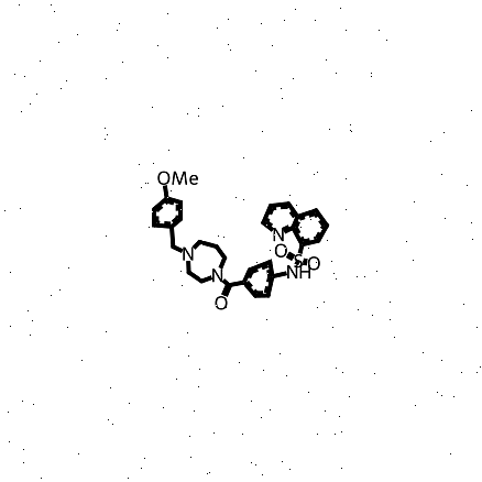 COc1ccc(CN2CCCN(C(=O)c3ccc(NS(=O)(=O)c4cccc5cccnc45)cc3)CC2)cc1